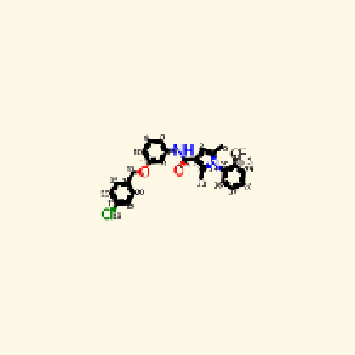 Cc1cc(C(=O)Nc2cccc(OCc3ccc(Cl)cc3)c2)c(C)n1-c1ccccc1C(F)(F)F